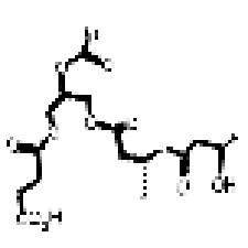 CCC(=O)OC(COC(=O)CCC(=O)O)COC(=O)C[C@@H](C)OC(=O)C[C@@H](C)O